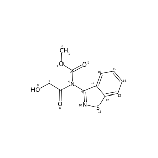 COC(=O)N(C(=O)CO)c1nsc2ccccc12